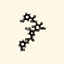 COC(=O)C(CNC(=O)c1cccc(O)c1)NC(=O)c1sc(C(=O)NCc2cccc(O)c2)cc1C